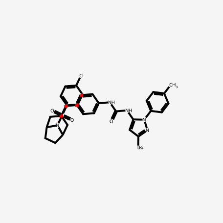 Cc1ccc(-n2nc(C(C)(C)C)cc2NC(=O)Nc2ccc(CC3CC4CCC(C3)N4S(=O)(=O)c3ccc(Cl)cc3)cc2)cc1